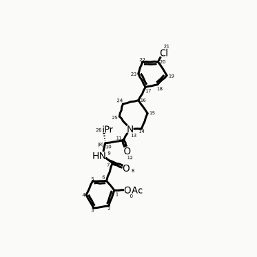 CC(=O)Oc1ccccc1C(=O)N[C@@H](C(=O)N1CCC(c2ccc(Cl)cc2)CC1)C(C)C